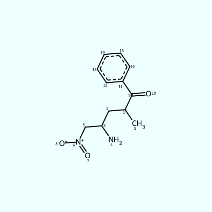 CC(CC(N)C[N+](=O)[O-])C(=O)c1ccccc1